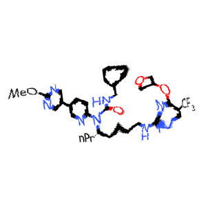 CCC[C@@H](CCCCNc1ncc(C(F)(F)F)c(OC2COC2)n1)N(C(=O)NCc1ccccc1)c1ccc(-c2cnc(OC)nc2)cn1